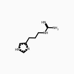 N=C(N)NCCCc1c[nH]cn1